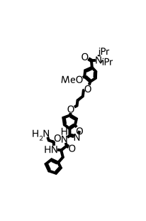 COc1cc(C(=O)N(C(C)C)C(C)C)ccc1OCCCCOc1ccc2c(NC(=O)C(Cc3ccccc3)NC(=O)CN)noc2c1